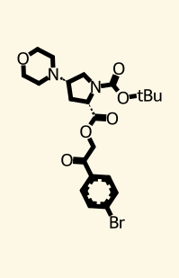 CC(C)(C)OC(=O)N1C[C@@H](N2CCOCC2)C[C@H]1C(=O)OCC(=O)c1ccc(Br)cc1